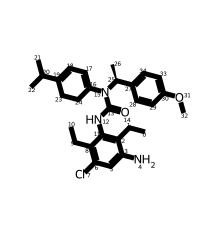 CCc1c(N)cc(Cl)c(CC)c1NC(=O)N(C1=CC=C(C(C)C)CC1)[C@@H](C)c1ccc(OC)cc1